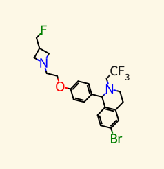 FCC1CN(CCOc2ccc(C3c4ccc(Br)cc4CCN3CC(F)(F)F)cc2)C1